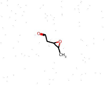 CC1OC1CC=O